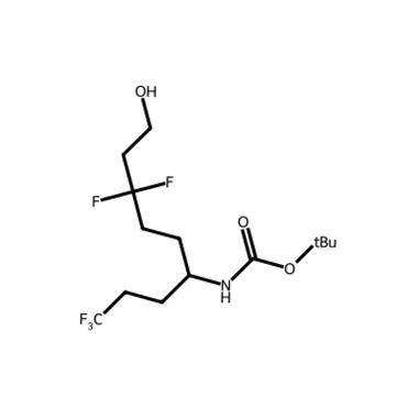 CC(C)(C)OC(=O)NC(CCC(F)(F)F)CCC(F)(F)CCO